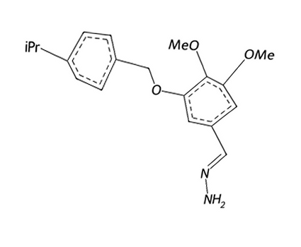 COc1cc(C=NN)cc(OCc2ccc(C(C)C)cc2)c1OC